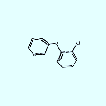 Clc1ccccc1Oc1cccnc1